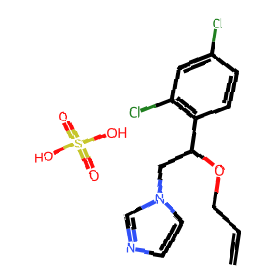 C=CCOC(Cn1ccnc1)c1ccc(Cl)cc1Cl.O=S(=O)(O)O